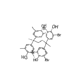 Cc1cc(C(C)(CCC(C)(c2cc(Br)c(O)c(Br)c2)c2cc(Br)c(O)c(Br)c2)c2cc(C)c(O)c(C)c2)cc(C)c1O